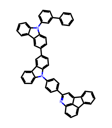 c1ccc(-c2cccc(-n3c4ccccc4c4cc(-c5ccc6c(c5)c5ccccc5n6-c5ccc(-c6cc7c8c(cccc8n6)-c6ccccc6-7)cc5)ccc43)c2)cc1